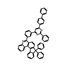 c1ccc(-c2ccc(-c3cc(-c4cccc(-c5nc6ccccc6c6c7c(ccc56)C(c5ccccc5)(c5ccccc5)c5ccccc5-7)c4)nc(-c4ccccc4)n3)cc2)cc1